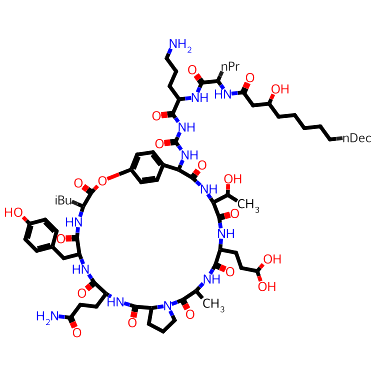 CCCCCCCCCCCCCCCC(O)CC(=O)NC(CCC)C(=O)NC(CCCN)C(=O)NC(=O)NC1C(=O)NC(C(C)O)C(=O)NC(CCC(O)O)C(=O)NC(C)C(=O)N2CCCC2C(=O)NC(CCC(N)=O)C(=O)NC(Cc2ccc(O)cc2)C(=O)NC(C(C)CC)C(=O)Oc2ccc1cc2